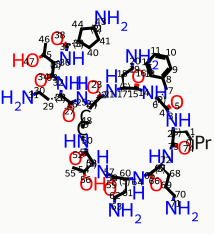 CC(C)C[C@@H]1NC(=O)[C@@H](Cc2ccccc2)NC(=O)[C@H](CCN)NC(=O)[C@@H](NC(=O)[C@H](CCN)NC(=O)[C@@H](NC(=O)[C@H]2CC[C@@H](N)C2)C(C)O)CCNC(=O)[C@H](C(C)O)NC(=O)[C@H](CCN)NC(=O)[C@H](CCCN)NC1=O